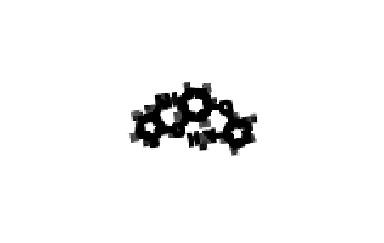 Nc1ccsc1Oc1cccc(Oc2sccc2N)c1